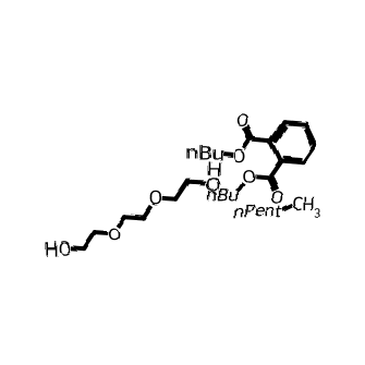 CCCCCC.CCCCOC(=O)c1ccccc1C(=O)OCCCC.OCCOCCOCCO